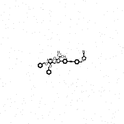 CC(C)N1C(=O)N(Cc2ncnc(OCc3ccccc3)c2OCc2ccccc2)CC1c1ccc(C#Cc2ccc(CN3CCC(C#N)C3)cc2)cc1